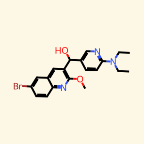 CCN(CC)c1ccc(C(O)c2cc3cc(Br)ccc3nc2OC)cn1